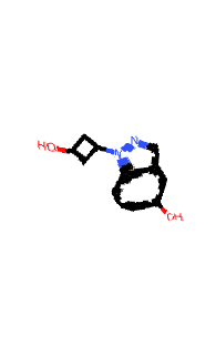 Oc1ccc2c(cnn2C2CC(O)C2)c1